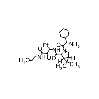 C=CCNC(=O)C(=O)C(CC)NC(=O)[C@@H]1[C@@H]2[C@H](CN1C(=O)[C@@H](N)C1CCCCC1)C2(C)C